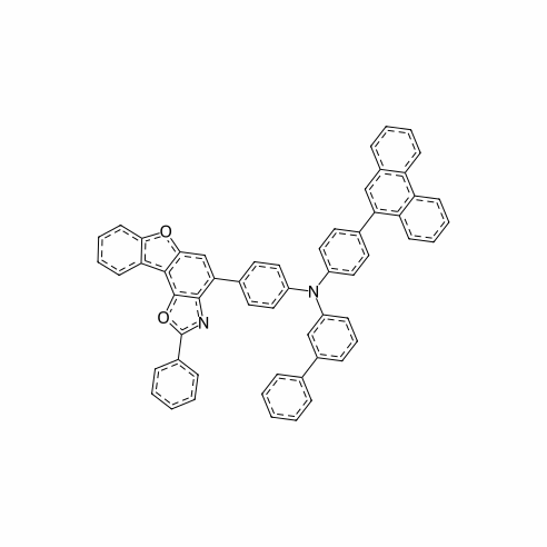 c1ccc(-c2cccc(N(c3ccc(-c4cc5ccccc5c5ccccc45)cc3)c3ccc(-c4cc5oc6ccccc6c5c5oc(-c6ccccc6)nc45)cc3)c2)cc1